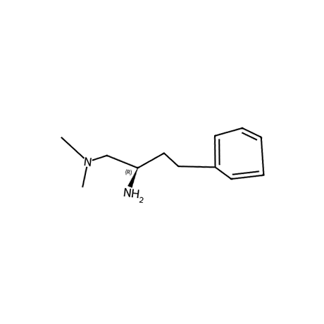 CN(C)C[C@H](N)CCc1ccccc1